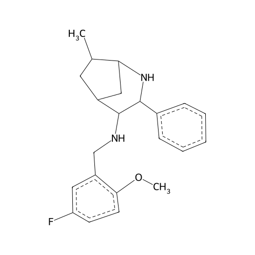 COc1ccc(F)cc1CNC1C2CC(C)C(C2)NC1c1ccccc1